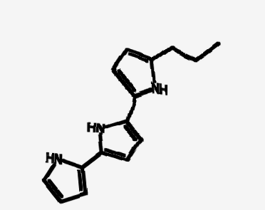 CCCc1ccc(-c2ccc(-c3ccc[nH]3)[nH]2)[nH]1